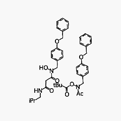 CC(=O)N(Cc1ccc(OCc2ccccc2)cc1)OC(=O)C(C)(C)C.CC(C)CNC(=O)CC(=O)N(O)Cc1ccc(OCc2ccccc2)cc1